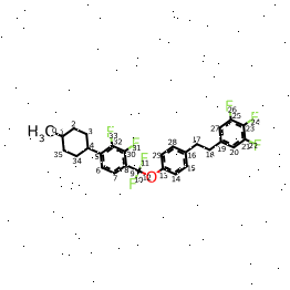 CC1CCC(c2ccc(C(F)(F)Oc3ccc(CCc4cc(F)c(F)c(F)c4)cc3)c(F)c2F)CC1